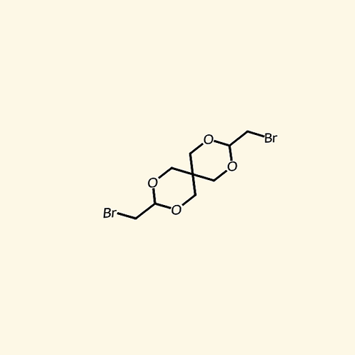 BrCC1OCC2(CO1)COC(CBr)OC2